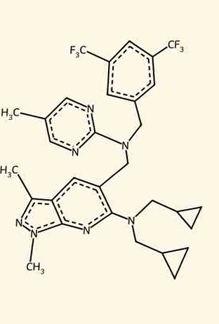 Cc1cnc(N(Cc2cc(C(F)(F)F)cc(C(F)(F)F)c2)Cc2cc3c(C)nn(C)c3nc2N(CC2CC2)CC2CC2)nc1